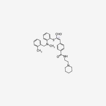 Cc1ccccc1CN(C)c1ccccc1S/C(C=O)=C\c1ccc(C(=O)NCCN2CCCCC2)cc1